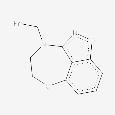 CC(C)CN1CCOc2cccc3onc1c23